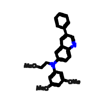 COCCN(c1cc(OC)cc(OC)c1)c1ccc2ncc(-c3ccccc3)cc2c1